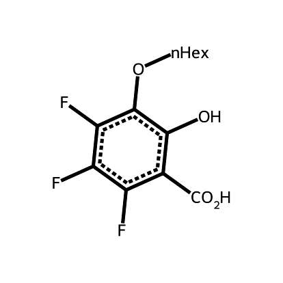 CCCCCCOc1c(O)c(C(=O)O)c(F)c(F)c1F